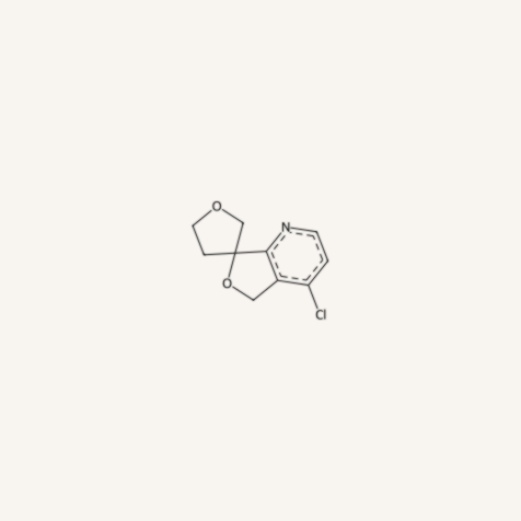 Clc1ccnc2c1COC21CCOC1